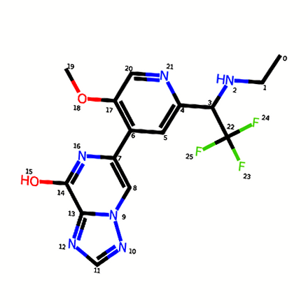 CCNC(c1cc(-c2cn3ncnc3c(O)n2)c(OC)cn1)C(F)(F)F